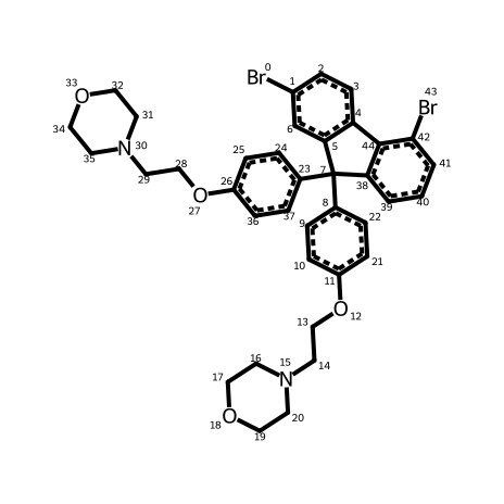 Brc1ccc2c(c1)C(c1ccc(OCCN3CCOCC3)cc1)(c1ccc(OCCN3CCOCC3)cc1)c1cccc(Br)c1-2